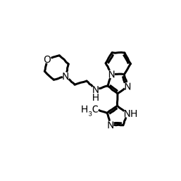 Cc1nc[nH]c1-c1nc2ccccn2c1NCCN1CCOCC1